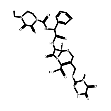 CCN1CCN(C(=O)NC(C(=O)NC2C(=O)N3C(C(=O)O)=C(CSc4n[nH]c(=O)c(=O)n4C)CS[C@@H]23)c2ccccc2)C(=O)C1=O